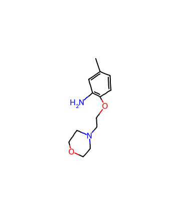 Cc1ccc(OCCN2CCOCC2)c(N)c1